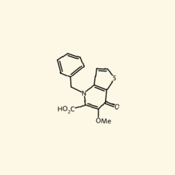 COc1c(C(=O)O)n(Cc2ccccc2)c2ccsc2c1=O